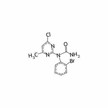 Cc1cc(Cl)nc(N(C(N)=O)c2ccccc2Br)n1